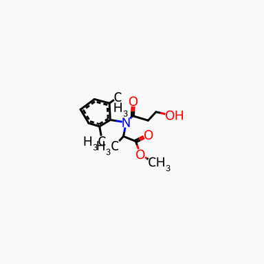 COC(=O)C(C)N(C(=O)CCO)c1c(C)cccc1C